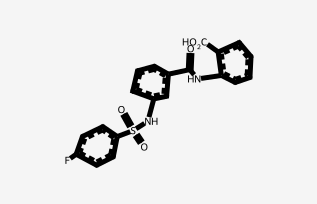 O=C(Nc1ccccc1C(=O)O)c1cccc(NS(=O)(=O)c2ccc(F)cc2)c1